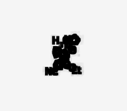 CCOCOc1cc(C#N)ccc1-c1nnc(NC(=O)[C@@H]2CCCCN2C)c2ccccc12